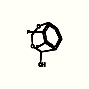 OC1OCOc2ccc1c(F)c2F